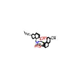 CCCCN(Cc1c(O)ccc2cc(C#N)ccc12)Cc1c(O)ccc2cc(C#N)ccc12